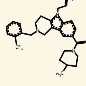 C=CCn1c2c(c3cc(C(=O)N4CCC(C)CC4)ccc31)CN(Cc1ccccc1C(F)(F)F)CC2